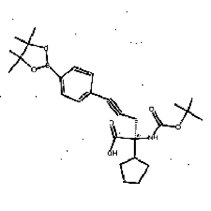 CC(C)(C)OC(=O)N[C@](CC#Cc1ccc(B2OC(C)(C)C(C)(C)O2)cc1)(C(=O)O)C1CCCC1